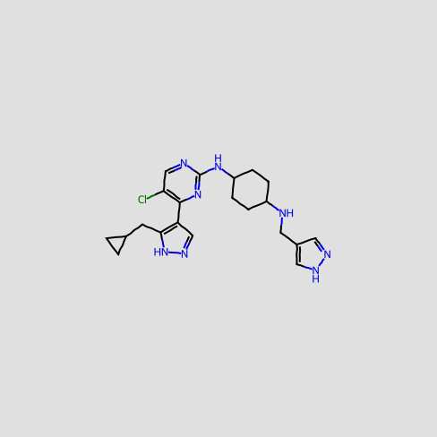 Clc1cnc(NC2CCC(NCc3cn[nH]c3)CC2)nc1-c1cn[nH]c1CC1CC1